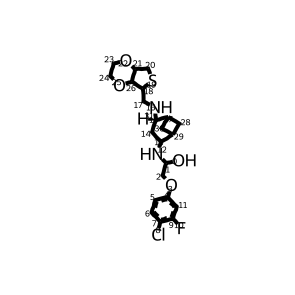 OC(COc1ccc(Cl)c(F)c1)NC1C[C@H](NCC2SCC3OCCOC32)C2CC1C2